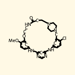 COc1ccc2cc1OCCNC(=O)CCN1CCN(CC1)Cc1cc(ccc1Cl)Nc1cc(ncn1)N2